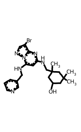 CC1(C)CC(O)CC(C)(CNc2cc(NCc3cccnc3)n3ncc(Br)c3n2)C1